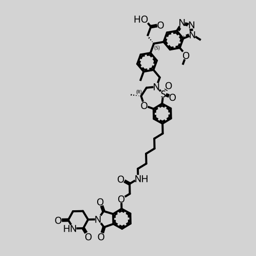 COc1cc([C@@H](CC(=O)O)c2ccc(C)c(CN3C[C@@H](C)Oc4cc(CCCCCCNC(=O)COc5cccc6c5C(=O)N(C5CCC(=O)NC5=O)C6=O)ccc4S3(=O)=O)c2)cc2nnn(C)c12